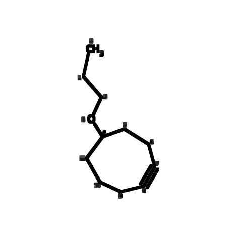 CCCOC1CCC#CCCC1